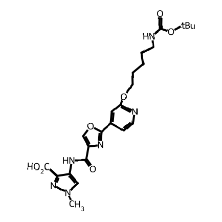 Cn1cc(NC(=O)c2coc(-c3ccnc(OCCCCCNC(=O)OC(C)(C)C)c3)n2)c(C(=O)O)n1